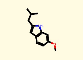 COc1ccc2cc(CC(C)C)[nH]c2c1